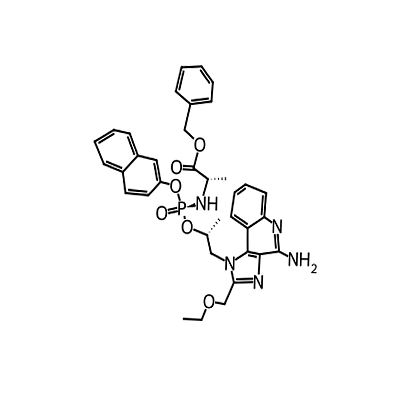 CCOCc1nc2c(N)nc3ccccc3c2n1C[C@@H](C)O[P@@](=O)(N[C@@H](C)C(=O)OCc1ccccc1)Oc1ccc2ccccc2c1